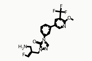 COc1ncc(-c2cccc(-n3cnn(C/C(=C/F)CN)c3=O)c2)cc1C(F)(F)F